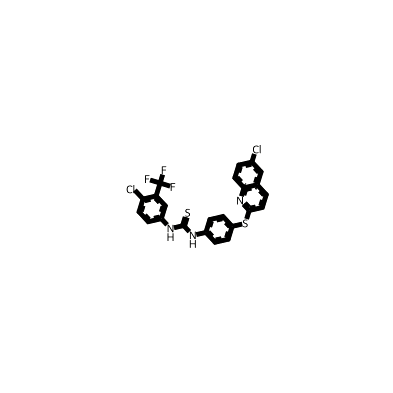 FC(F)(F)c1cc(NC(=S)Nc2ccc(Sc3ccc4cc(Cl)ccc4n3)cc2)ccc1Cl